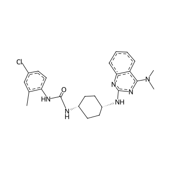 Cc1cc(Cl)ccc1NC(=O)N[C@H]1CC[C@@H](Nc2nc(N(C)C)c3ccccc3n2)CC1